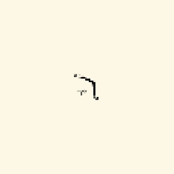 CC(=O)CC(C)=O.[Ti+4]